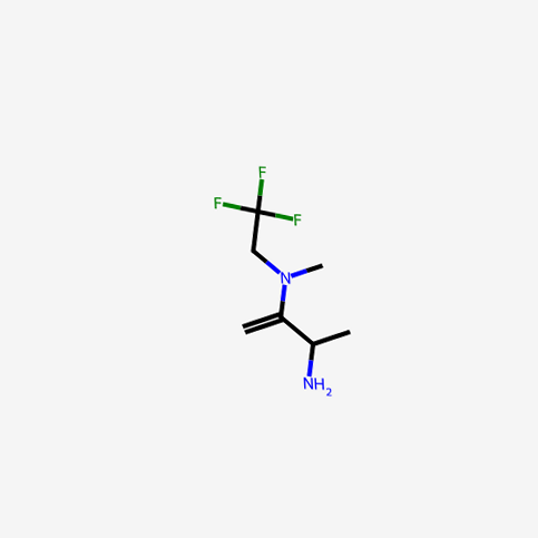 C=C(C(C)N)N(C)CC(F)(F)F